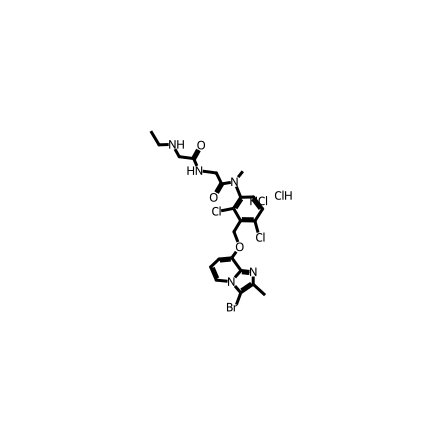 CCNCC(=O)NCC(=O)N(C)c1ccc(Cl)c(COc2cccn3c(Br)c(C)nc23)c1Cl.Cl.Cl